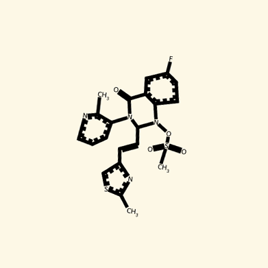 Cc1nc(C=CC2N(OS(C)(=O)=O)c3ccc(F)cc3C(=O)N2c2cccnc2C)cs1